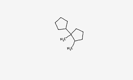 CC1CCCC1(C)C1CCCC1